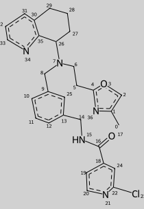 Cc1coc(CCN(Cc2cccc(CNC(=O)c3ccnc(Cl)c3)c2)C2CCCc3cccnc32)n1